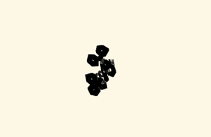 O=C(CN1CCC(c2ccccc2)(c2ccccc2)C1=O)N1CCC[C@@H]2CN(C(c3ccccc3)c3ccccc3)C[C@@H]21